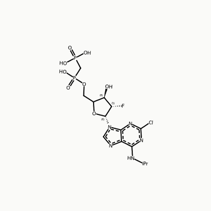 CC(C)Nc1nc(Cl)nc2c1ncn2[C@@H]1OC(COP(=O)(O)CP(=O)(O)O)[C@@H](O)[C@@H]1F